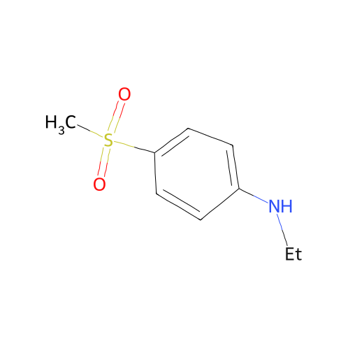 CCNc1ccc(S(C)(=O)=O)cc1